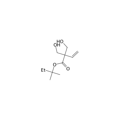 C=CC(CO)(CO)C(=O)OC(C)(C)CC